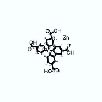 O=C(O)c1cc[c]([Zn]([c]2ccc(C(=O)O)cc2)([c]2ccc(C(=O)O)cc2)[c]2ccc(C(=O)O)cc2)cc1.[Zn]